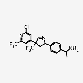 CC(N)c1ccc(C2CC(c3cc(Cl)nc(C(F)(F)F)c3)(C(F)(F)F)C=N2)cc1